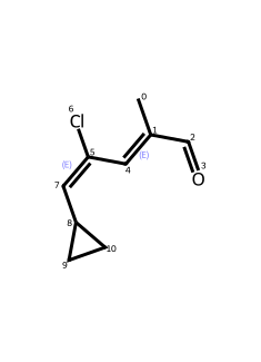 C/C(C=O)=C\C(Cl)=C/C1CC1